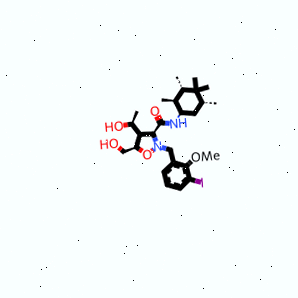 COc1c(I)cccc1CN1O[C@@H](CO)C([C@H](C)O)[C@H]1C(=O)N[C@H]1C[C@@H](C)C(C)(C)[C@@H](C)[C@@H]1C